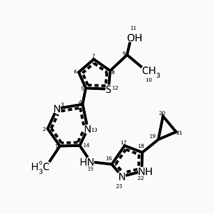 Cc1cnc(-c2ccc(C(C)O)s2)nc1Nc1cc(C2CC2)[nH]n1